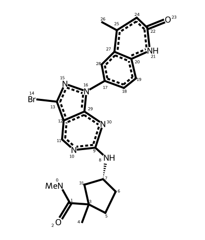 CNC(=O)C1(C)CC[C@@H](Nc2ncc3c(Br)nn(-c4ccc5[nH]c(=O)cc(C)c5c4)c3n2)C1